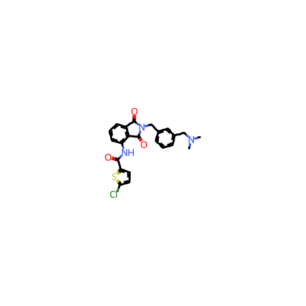 CN(C)Cc1cccc(CN2C(=O)c3cccc(NC(=O)c4ccc(Cl)s4)c3C2=O)c1